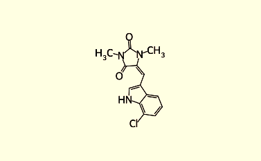 CN1C(=O)C(=Cc2c[nH]c3c(Cl)cccc23)N(C)C1=O